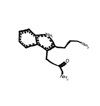 NCCc1[nH]c2ccccc2c1CC(N)=O